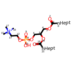 CCCCCCCC(=O)OCC(COP(=O)(O)OCC[N+](C)(C)C)OC(=O)CCCCCCC